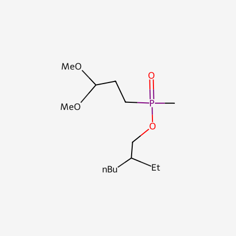 CCCCC(CC)COP(C)(=O)CCC(OC)OC